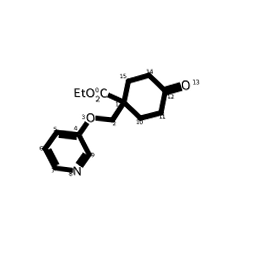 CCOC(=O)C1(COc2cccnc2)CCC(=O)CC1